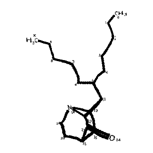 CCCCCC(CCCCC)CC1C(=O)C2CCN1CC2